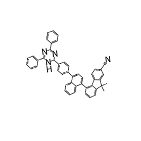 CC1(C)c2cc(C#N)ccc2-c2c(-c3ccc(-c4ccc(C5N=C(c6ccccc6)N=C(c6ccccc6)N5)cc4)c4ccccc34)cccc21